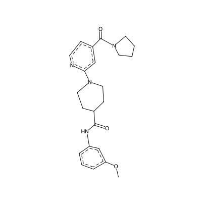 COc1cccc(NC(=O)C2CCN(c3cc(C(=O)N4CCCC4)ccn3)CC2)c1